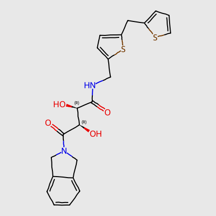 O=C(NCc1ccc(Cc2cccs2)s1)[C@H](O)[C@@H](O)C(=O)N1Cc2ccccc2C1